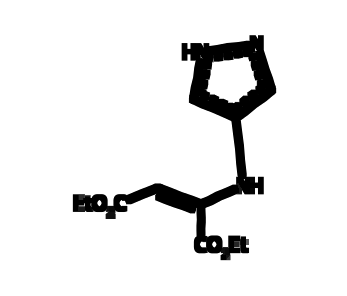 CCOC(=O)C=C(Nc1cn[nH]c1)C(=O)OCC